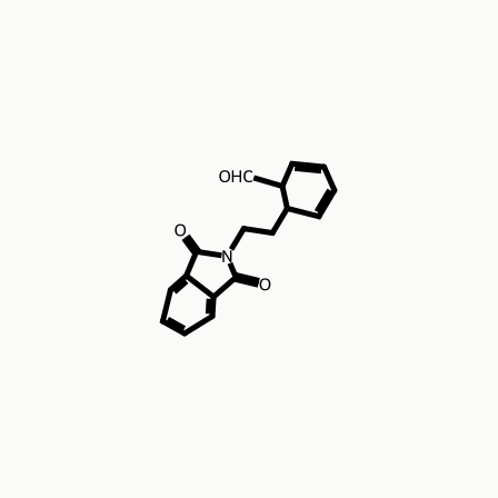 O=CC1C=CC=CC1CCN1C(=O)c2ccccc2C1=O